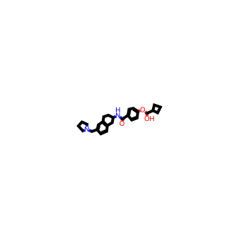 O=C(NC1CCc2cc(CN3CCCC3)ccc2C1)c1ccc(OC(O)C2CCC2)cc1